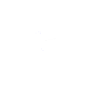 C#C/N=C(\C)N